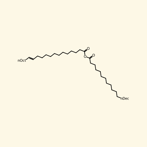 CCCCCCCCC=CCCCCCCCCCCCC(=O)OC(=O)CCCCCCCCCCCCCCCCCCCCC